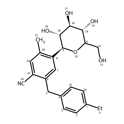 CCc1ccc(Cc2cc([C@@H]3OC(CO)[C@@H](O)[C@H](O)[C@H]3O)c(C)cc2C#N)cc1